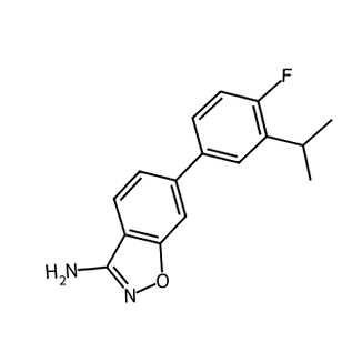 CC(C)c1cc(-c2ccc3c(N)noc3c2)ccc1F